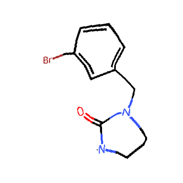 O=C1[N]CCN1Cc1cccc(Br)c1